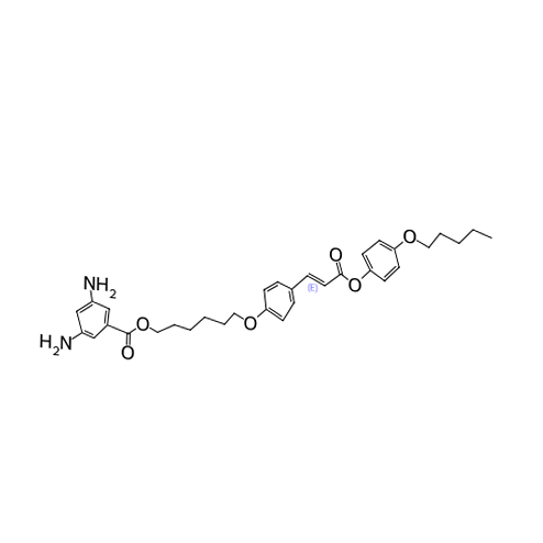 CCCCCOc1ccc(OC(=O)/C=C/c2ccc(OCCCCCCOC(=O)c3cc(N)cc(N)c3)cc2)cc1